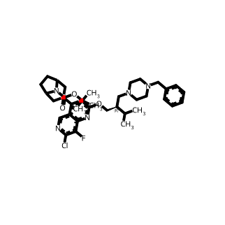 CC(C)[C@@H](COc1nc(N2CC3CCC(C2)N3C(=O)OC(C)(C)C)c2cnc(Cl)c(F)c2n1)CN1CCN(Cc2ccccc2)CC1